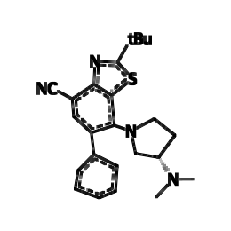 CN(C)[C@H]1CCN(c2c(-c3ccccc3)cc(C#N)c3nc(C(C)(C)C)sc23)C1